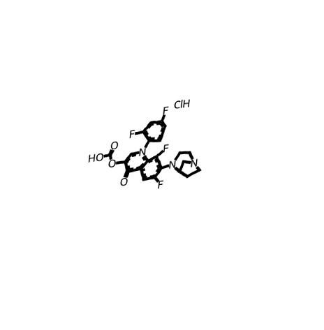 Cl.O=C(O)Oc1cn(-c2ccc(F)cc2F)c2c(F)c(N3CCN4CCC3C4)c(F)cc2c1=O